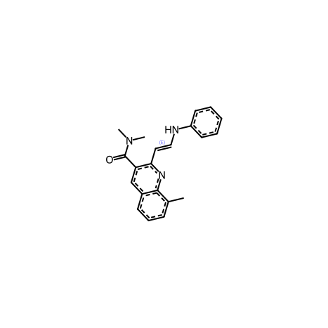 Cc1cccc2cc(C(=O)N(C)C)c(/C=C/Nc3ccccc3)nc12